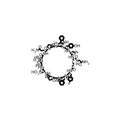 CCCC[C@H]1C(=O)N[C@@H](CCC(N)=O)C(=O)N2CCC[C@@H]2C(=O)N[C@@H](Cc2c[nH]c3ccccc23)C(=O)N[C@@H](Cc2ccc(O)cc2)C(=O)N[C@@H](CC(C)C)C(=O)N[C@H](C(=O)NCC(N)=O)CSCC(=O)N[C@@H](Cc2ccc(F)cc2)C(=O)N(C)[C@@H](Cc2ccccc2)C(=O)N(C)[C@@H](CCCC)C(=O)N2CCC[C@@H]2C(=O)N[C@@H](CC(=O)O)C(=O)N[C@@H](C(C)C)C(=O)N1C